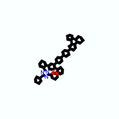 c1ccc(-c2nc(-c3ccccc3)nc(-c3ccccc3-c3cc(-c4ccc(-c5ccc(-c6ccc7c8ccccc8c8ccccc8c7c6)cc5)cc4)c4c(c3)oc3ccccc34)n2)cc1